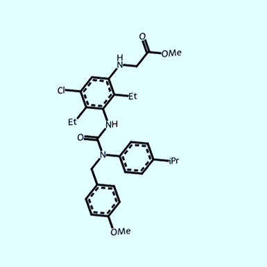 CCc1c(Cl)cc(NCC(=O)OC)c(CC)c1NC(=O)N(Cc1ccc(OC)cc1)c1ccc(C(C)C)cc1